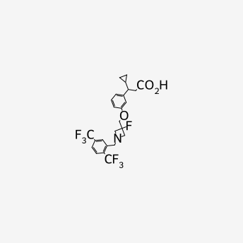 O=C(O)CC(c1cccc(OCC2(F)CN(Cc3cc(C(F)(F)F)ccc3C(F)(F)F)C2)c1)C1CC1